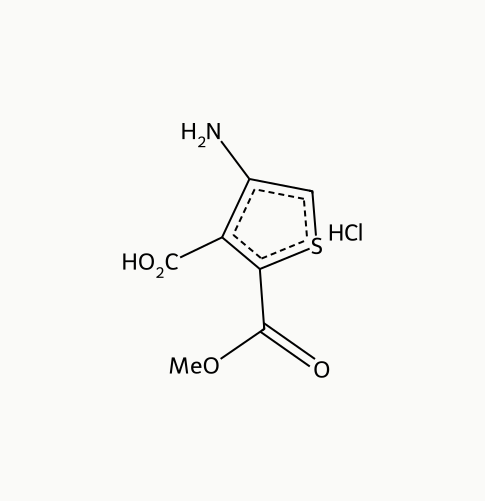 COC(=O)c1scc(N)c1C(=O)O.Cl